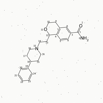 NC(=O)c1ccc2c(c1)CCOC2CCN1CCC(c2ccccc2)CC1